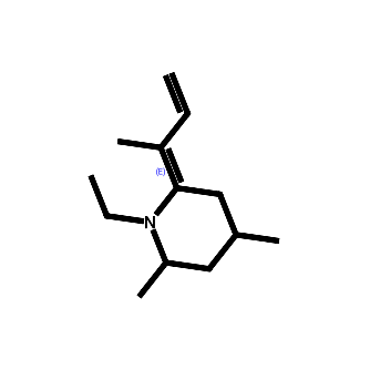 C=C/C(C)=C1\CC(C)CC(C)N1CC